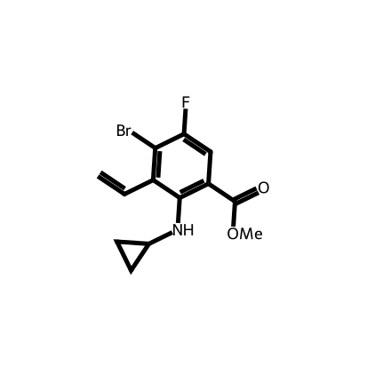 C=Cc1c(Br)c(F)cc(C(=O)OC)c1NC1CC1